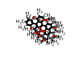 BBB(B)B(B(B)B)c1c(B(B(B)B)B(B)B)c(B(BB)B(B)B)c(B(B)B(B)B)c2c(-c3c4c(C)c(C)c(C)c(C)c4c(-c4c(C)c(C)c(C)c(C)c4C)c4c(C)c(C)c(C)c(C)c34)c(B(B)B)c(BB)c(B)c12